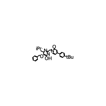 C[C](C)Cc1nc(Cn2ccc(-c3ccc(C(C)(C)C)cc3)cc2=O)nc(O)c1OCc1ccccc1